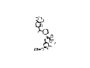 COc1cc(CN(C(=O)C(F)(F)F)[C@H]2CCCC(C(C)c3ccc4c(n3)OCCO4)C2)cc(C)n1